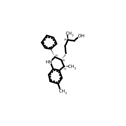 Cc1ccc2c(c1)[C@@H](C)[C@@H](CC[C@@H](C)CO)[C@@H](c1ccccc1)N2